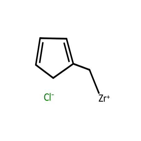 [Cl-].[Zr+][CH2]C1=CC=CC1